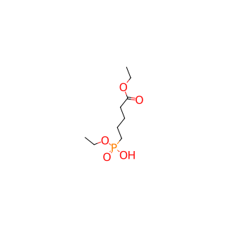 CCOC(=O)CCCCP(=O)(O)OCC